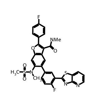 CNC(=O)c1c(-c2ccc(F)cc2)oc2cc(N(C)S(C)(=O)=O)c(-c3ccc(F)c(-c4nc5ncccc5s4)c3)cc12